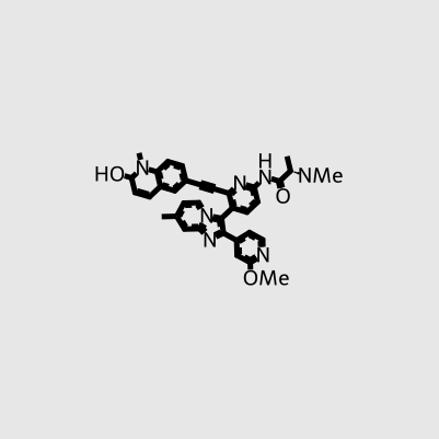 CN[C@@H](C)C(=O)Nc1ccc(-c2c(-c3ccnc(OC)c3)nc3cc(C)ccn23)c(C#Cc2ccc3c(c2)C=CC(O)N3C)n1